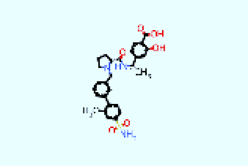 Cc1cc(S(N)(=O)=O)ccc1-c1cccc(CN2CCC[C@@H]2C(=O)N[C@@H](C)c2ccc(C(=O)O)c(O)c2)c1